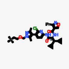 Cc1nn(COCC[Si](C)(C)C)c(C)c1-c1ccc(NC(=O)[C@@H](NC(=O)c2conc2C(C)C)C(C2CC2)C2CC2)nc1Cl